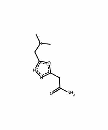 CN(C)Cc1nnc([CH]C(N)=O)o1